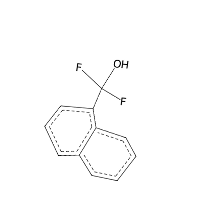 OC(F)(F)c1cccc2ccccc12